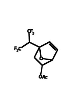 CC(=O)OC1CC2(C(C(F)(F)F)C(F)(F)F)C=CC1O2